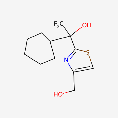 OCc1csc(C(O)(C2CCCCC2)C(F)(F)F)n1